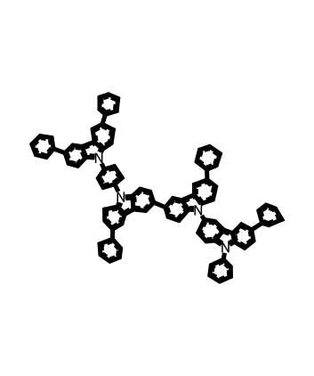 c1ccc(-c2ccc3c(c2)c2cc(-c4ccccc4)ccc2n3-c2ccc(-n3c4ccc(-c5ccccc5)cc4c4cc(-c5ccc6c(c5)c5cc(-c7ccccc7)ccc5n6-c5ccc6c(c5)c5cc(-c7ccccc7)ccc5n6-c5ccccc5)ccc43)cc2)cc1